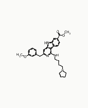 COC(=O)c1ccc2c(c1)[nH]c1cc(Cc3cccc(OC)c3)nc(NCCCCN3CCCC3)c12